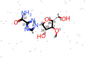 COC1[C@@H](CO)O[C@@H](n2cnc(C(N)=O)n2)[C@H]1O